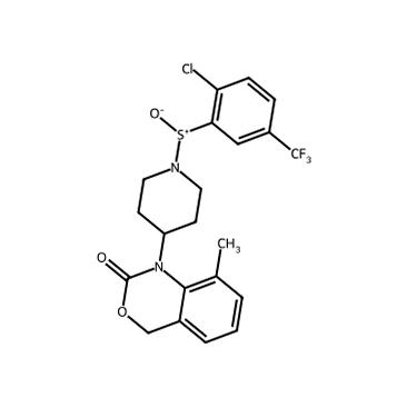 Cc1cccc2c1N(C1CCN([S+]([O-])c3cc(C(F)(F)F)ccc3Cl)CC1)C(=O)OC2